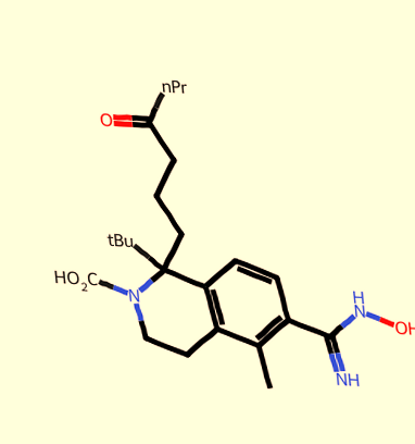 CCCC(=O)CCCC1(C(C)(C)C)c2ccc(C(=N)NO)c(C)c2CCN1C(=O)O